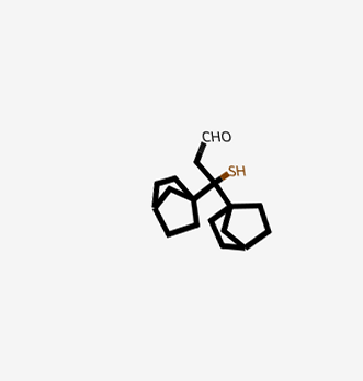 O=CCC(S)(C12CCC(CC1)C2)C12CCC(CC1)C2